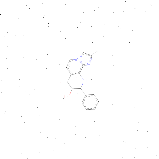 Cc1cn2ccc3c(c2n1)NC(c1ccccc1)C(O)[C@@H]3O